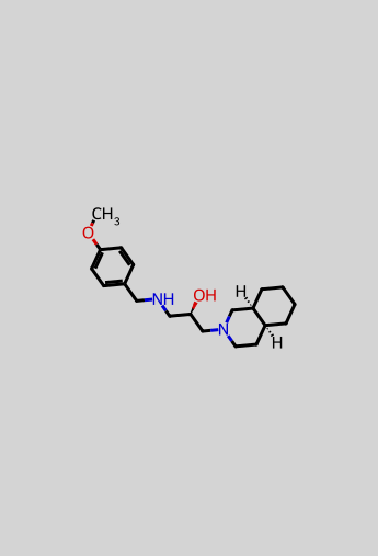 COc1ccc(CNC[C@@H](O)CN2CC[C@@H]3CCCC[C@@H]3C2)cc1